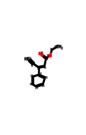 C#CC(=CC(=O)OCC)c1ccccc1